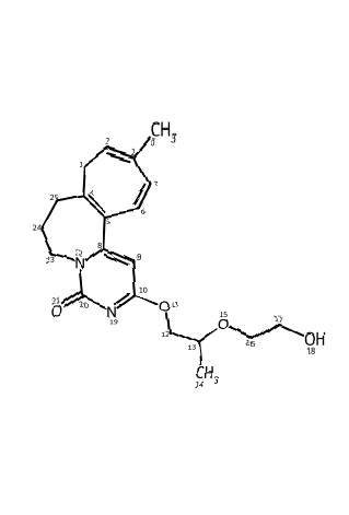 CC1=CCC2=C(C=C1)c1cc(OCC(C)OCCO)nc(=O)n1CCC2